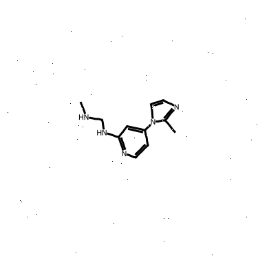 CNCNc1cc(-n2ccnc2C)ccn1